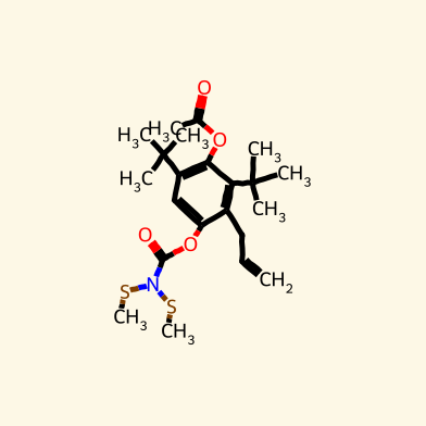 C=CCc1c(OC(=O)N(SC)SC)cc(C(C)(C)C)c(OC(C)=O)c1C(C)(C)C